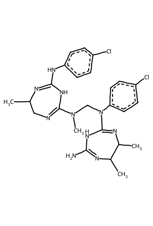 CC1CN=C(N(C)CN(C2=NC(C)C(C)N=C(N)N2)c2ccc(Cl)cc2)NC(Nc2ccc(Cl)cc2)=N1